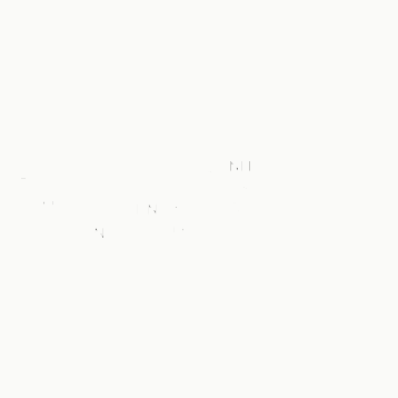 O=C(COc1ccc(Cl)c(F)c1)NC12CCC1C(C(=O)NCC1CCC(OC(F)F)CN1)C2